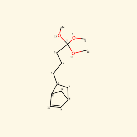 COC(CCCC1CC2C=CC1C2)(OC)OC